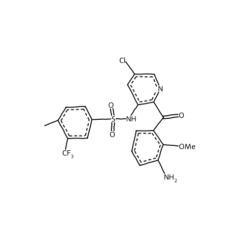 COc1c(N)cccc1C(=O)c1ncc(Cl)cc1NS(=O)(=O)c1ccc(C)c(C(F)(F)F)c1